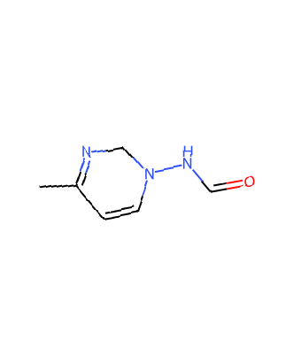 CC1=NCN(NC=O)C=C1